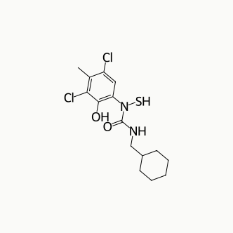 Cc1c(Cl)cc(N(S)C(=O)NCC2CCCCC2)c(O)c1Cl